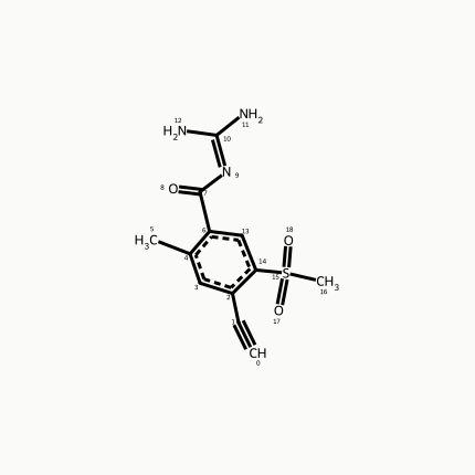 C#Cc1cc(C)c(C(=O)N=C(N)N)cc1S(C)(=O)=O